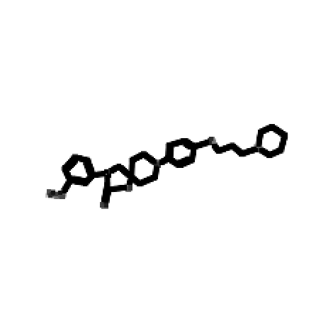 COc1cccc(N2CC3(CCN(c4ccc(OCCCN5CCCCC5)cc4)CC3)OC2=O)c1